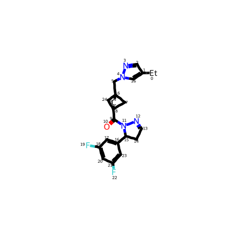 CCc1cnn(CC23CC(C(=O)N4N=CCC4c4cc(F)cc(F)c4)(C2)C3)c1